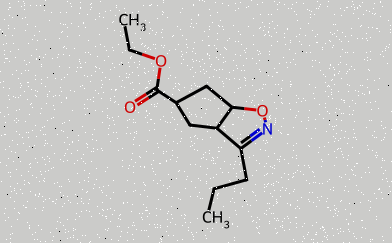 CCCC1=NOC2CC(C(=O)OCC)CC12